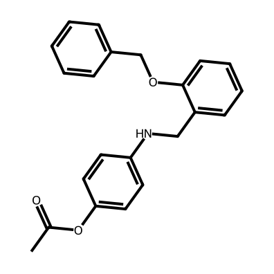 CC(=O)Oc1ccc(NCc2ccccc2OCc2ccccc2)cc1